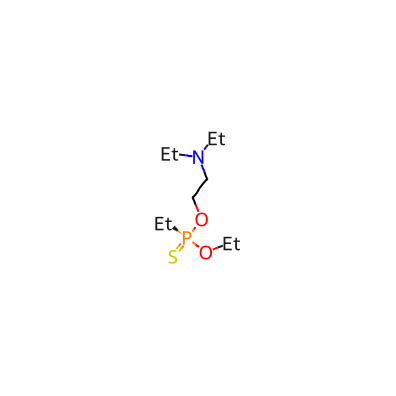 CCO[P@@](=S)(CC)OCCN(CC)CC